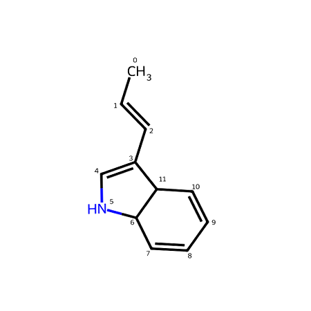 C/C=C/C1=CNC2C=CC=CC12